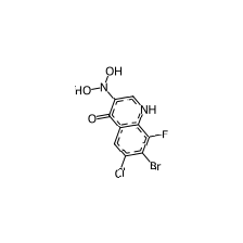 O=c1c(N(O)O)c[nH]c2c(F)c(Br)c(Cl)cc12